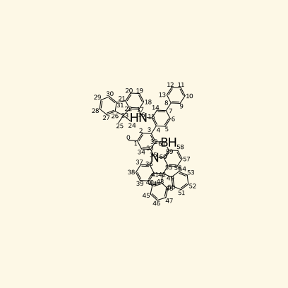 Cc1cc(-c2ccc(-c3ccccc3)cc2Nc2cccc3c2C(C)(C)c2ccccc2-3)c2c(c1)N1c3ccccc3C(c3ccccc3)(c3ccccc3)c3cccc(c31)B2